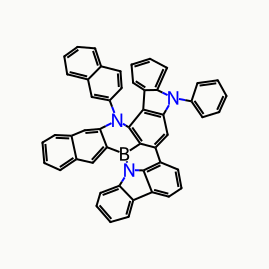 c1ccc(-n2c3ccccc3c3c4c5c(cc32)-c2cccc3c6ccccc6n(c23)B5c2cc3ccccc3cc2N4c2ccc3ccccc3c2)cc1